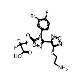 NCCSc1nonc1-c1noc(=O)n1-c1ccc(F)c(Br)c1.O=C(O)C(F)(F)F